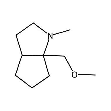 COCC12CCCC1CCN2C